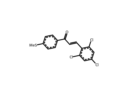 CSc1ccc(C(=O)C=Cc2c(Cl)cc(Cl)cc2Cl)cc1